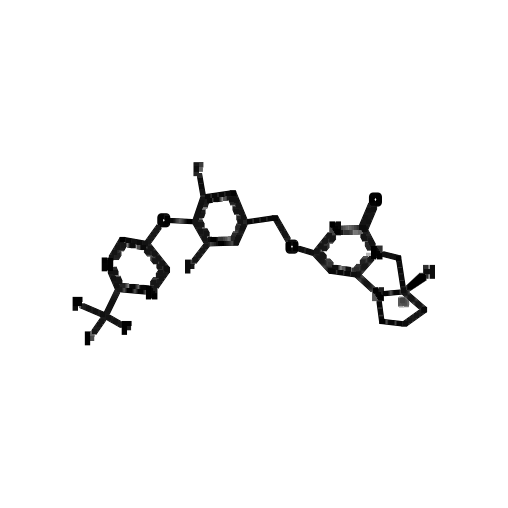 O=c1nc(OCc2cc(F)c(Oc3cnc(C(F)(F)F)nc3)c(F)c2)cc2n1C[C@@H]1CCCN21